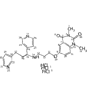 Cl.Cl.Cl.Cn1c(=O)c2cc(OCCCNC(CCc3cccnc3)c3ccncc3)ccc2n(C)c1=O